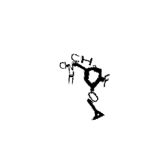 C[C@@H](NCl)c1ccc(F)c(OCC2CC2)c1